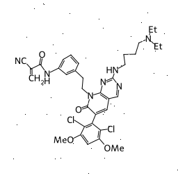 C=C(C#N)C(=O)Nc1cccc(CCn2c(=O)c(-c3c(Cl)c(OC)cc(OC)c3Cl)cc3cnc(NCCCCN(CC)CC)nc32)c1